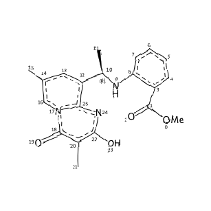 COC(=O)c1ccccc1N[C@H](C)c1cc(C)cn2c(=O)c(C)c(O)nc12